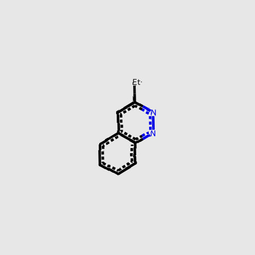 C[CH]c1cc2ccccc2nn1